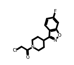 O=C(CCl)N1CCC(c2noc3cc(F)ccc23)CC1